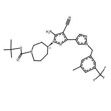 Cc1cc(Cn2cc(-c3nn([C@H]4CCCN(C(=O)OC(C)(C)C)CC4)c(N)c3C#N)cn2)cc(C(F)(F)F)c1